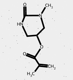 C=C(C)C(=O)OC1CNC(=O)N(C)C1